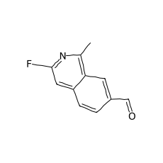 Cc1nc(F)cc2ccc(C=O)cc12